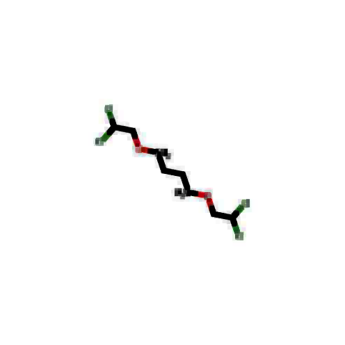 ClC(Cl)CO[SiH2]CC[SiH2]OCC(Cl)Cl